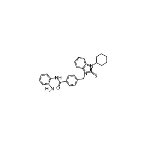 Nc1ccccc1NC(=O)c1ccc(Cn2c(=S)n(C3CCCCC3)c3ccccc32)cc1